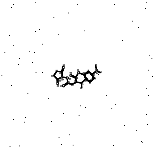 CC1c2ccc(N(C)C)cc2OC(=O)C1CC(=O)ON1C(=O)CCC1=O